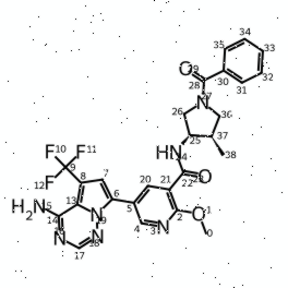 COc1ncc(-c2cc(C(F)(F)F)c3c(N)ncnn23)cc1C(=O)N[C@H]1CN(C(=O)c2ccccc2)C[C@H]1C